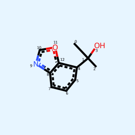 CC(C)(O)c1cccc2ncoc12